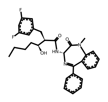 CCCC[C@H](O)[C@@H](Cc1cc(F)cc(F)c1)C(=O)N[C@H]1N=C(c2ccccc2)c2ccccc2N(C)C1=O